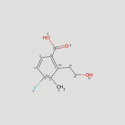 Cc1c(F)ccc(C(=O)O)c1CCO